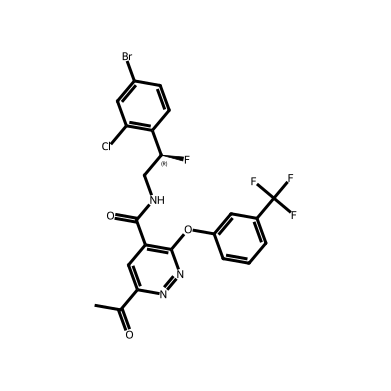 CC(=O)c1cc(C(=O)NC[C@H](F)c2ccc(Br)cc2Cl)c(Oc2cccc(C(F)(F)F)c2)nn1